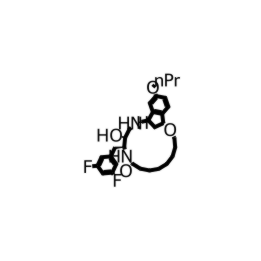 CCCOc1ccc2c(c1)[C@@H]1CC2OCCCCCCCC(=O)N[C@@H](Cc2cc(F)cc(F)c2)[C@H](O)CN1